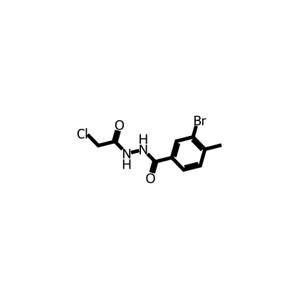 Cc1ccc(C(=O)NNC(=O)CCl)cc1Br